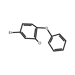 CCc1ccc(Oc2ccccc2)c(Cl)c1